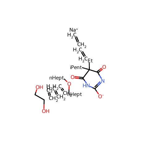 C=C.C=C.C=C.C=C.C=C.CCCC(C)C1(CC)C(=O)N=C([O-])NC1=O.CCCCCCCOCCCCCCC.OCCO.[Na+]